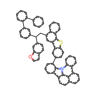 c1ccc(-c2ccccc2-c2cccc(C(Cc3cc4c5cc(-c6cccc7c8ccc9cccc%10c%11ccccc%11n(c67)c8c9%10)ccc5sc4c4ccccc34)c3ccc4ccoc4c3)c2)cc1